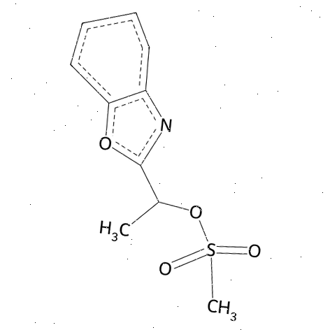 CC(OS(C)(=O)=O)c1nc2ccccc2o1